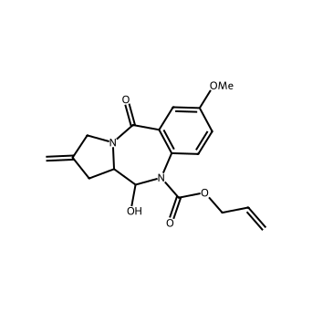 C=CCOC(=O)N1c2ccc(OC)cc2C(=O)N2CC(=C)CC2C1O